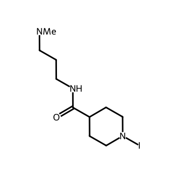 CNCCCNC(=O)C1CCN(I)CC1